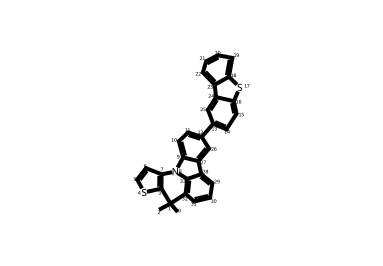 CC1(C)c2sccc2-n2c3ccc(-c4ccc5sc6ccccc6c5c4)cc3c3cccc1c32